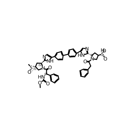 COC(=O)N[C@H](C(=O)N1C[C@@H]([S+](C)[O-])C[C@H]1c1ncc(-c2ccc(-c3ccc(-c4cnc([C@@H]5CC([SH](=O)=O)CN5C(=O)Cc5ccccc5)[nH]4)cc3)cc2)[nH]1)c1ccccc1